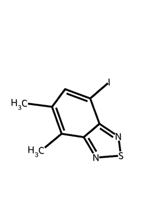 Cc1cc(I)c2nsnc2c1C